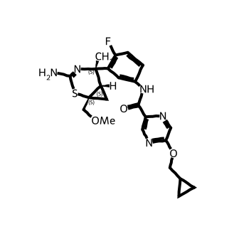 COC[C@]12C[C@H]1[C@@](C)(c1cc(NC(=O)c3cnc(OCC4CC4)cn3)ccc1F)N=C(N)S2